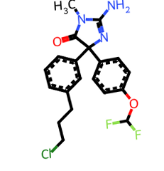 CN1C(=O)C(c2ccc(OC(F)F)cc2)(c2cccc(CCCCl)c2)N=C1N